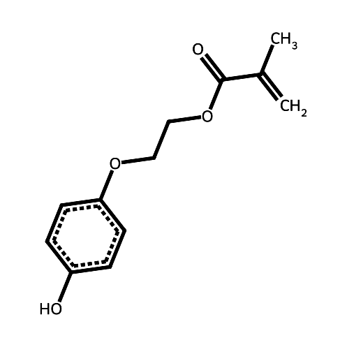 C=C(C)C(=O)OCCOc1ccc(O)cc1